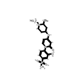 CC(C)(C)C1CC(Oc2ccn(-c3ccc(S(C)(=O)=O)cc3Cl)c(=O)c2)CCN1C(=O)O